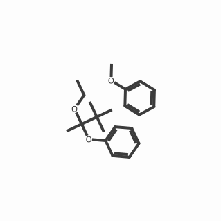 CCOC(C)(Oc1ccccc1)C(C)(C)C.COc1ccccc1